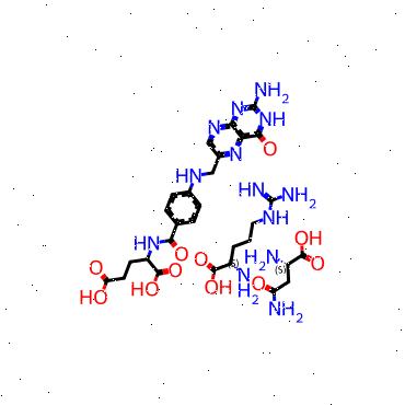 N=C(N)NCCC[C@H](N)C(=O)O.NC(=O)C[C@H](N)C(=O)O.Nc1nc2ncc(CNc3ccc(C(=O)NC(CCC(=O)O)C(=O)O)cc3)nc2c(=O)[nH]1